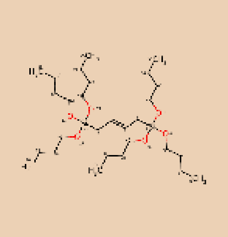 CCCCO[Si](CC=CC[Si](OCCCC)(OCCCC)OCCCC)(OCCCC)OCCCC